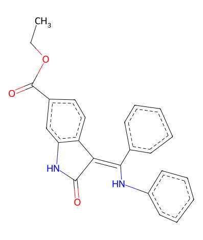 CCOC(=O)c1ccc2c(c1)NC(=O)/C2=C(\Nc1ccccc1)c1ccccc1